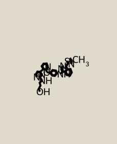 Cc1csc(-c2nnc(Nc3ccc(Oc4ncccc4-c4ccnc(NCCCO)n4)cc3)c3ccccc23)n1